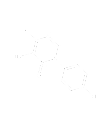 Cc1ncn(-c2ccc(Cl)cc2)c(=O)c1S